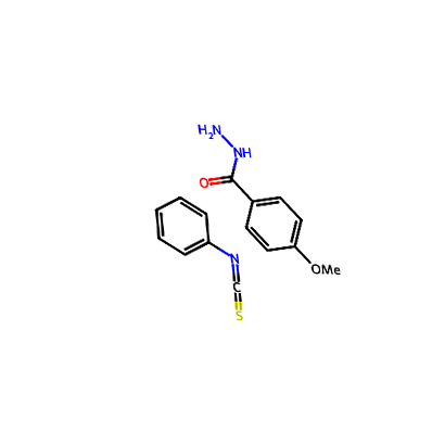 COc1ccc(C(=O)NN)cc1.S=C=Nc1ccccc1